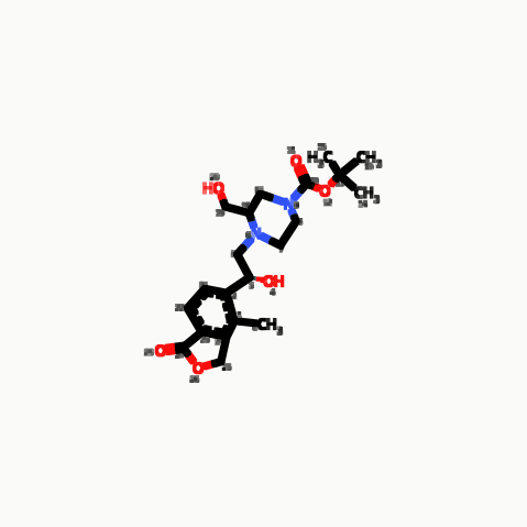 Cc1c([C@@H](O)CN2CCN(C(=O)OC(C)(C)C)CC2CO)ccc2c1COC2=O